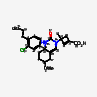 COC1CC[C@@]2(c3ccc(CCC(C)(C)C)c(Cl)c3)NC(=O)N(C3(C)C=C(C(=O)O)C3)C=C2C1